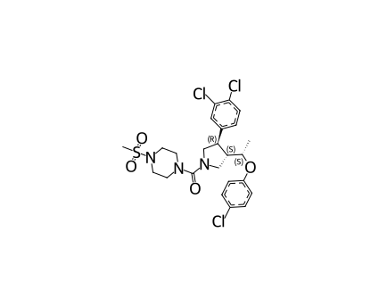 C[C@H](Oc1ccc(Cl)cc1)[C@@H]1CN(C(=O)N2CCN(S(C)(=O)=O)CC2)C[C@H]1c1ccc(Cl)c(Cl)c1